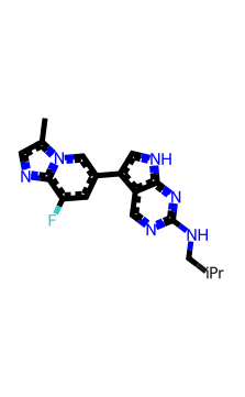 Cc1cnc2c(F)cc(-c3c[nH]c4nc(NCC(C)C)ncc34)cn12